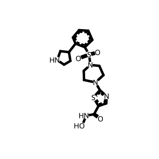 O=C(NO)c1cnc(N2CCN(S(=O)(=O)c3ccccc3C3CCNC3)CC2)s1